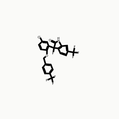 O=C1Nc2cc(C(F)(F)F)ccc2C1(F)c1cc(Cl)ccc1OCc1ccc(C(F)(F)F)cc1